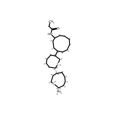 CCC(=O)NC1CCCCCCC(C2CCCC[C@@H](C3CCCC[C@H](P)CCC3)CC2)CC1